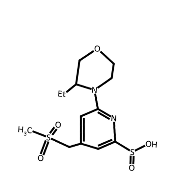 CCC1COCCN1c1cc(CS(C)(=O)=O)cc(S(=O)O)n1